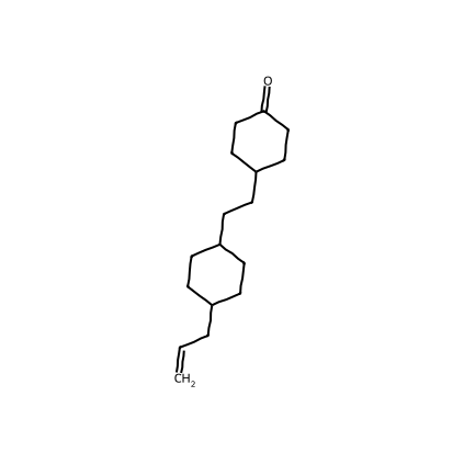 C=CCC1CCC(CCC2CCC(=O)CC2)CC1